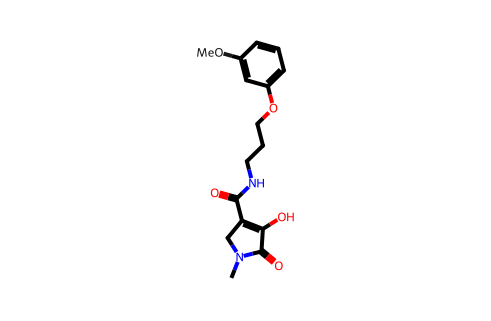 COc1cccc(OCCCNC(=O)C2=C(O)C(=O)N(C)C2)c1